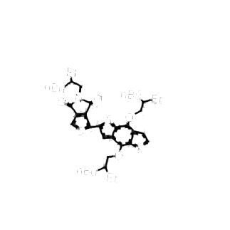 CCCCC(CC)COc1c2cc(-c3s[c]c4c3C(=O)N(CC(CC)CCCC)C4=O)sc2c(OCC(CC)CCCC)c2c[c]sc12